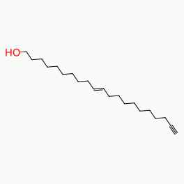 C#CCCCCCCCCC=CCCCCCCCCCO